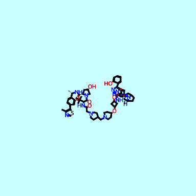 Cc1ncsc1-c1ccc([C@H](C)NC(=O)[C@@H]2C[C@@H](O)CN2C(=O)[C@@H](NC(=O)CN2CCC(CN3CCC(OC4CC(Oc5cc(N6C7CC[C@@H]6CN(c6cc(-c8ccccc8O)nnc6N)C7)ccn5)C4)CC3)CC2)C(C)(C)C)cc1